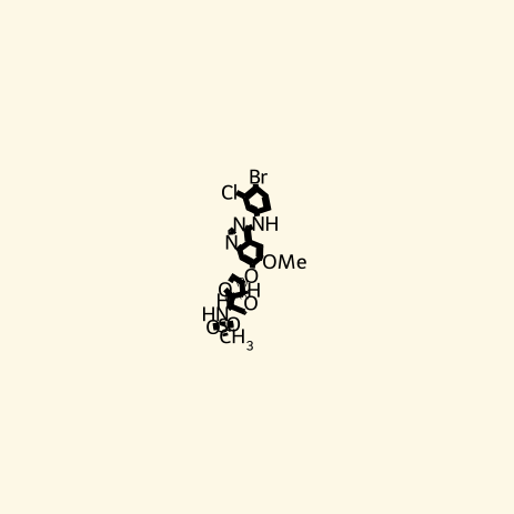 COc1cc2c(Nc3ccc(Br)c(Cl)c3)ncnc2cc1O[C@@H]1CO[C@H]2C(NS(C)(=O)=O)CO[C@@H]12